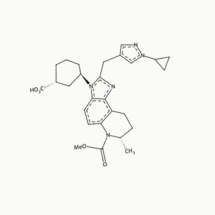 COC(=O)N1c2ccc3c(nc(Cc4cnn(C5CC5)c4)n3[C@@H]3CCC[C@@H](C(=O)O)C3)c2CC[C@@H]1C